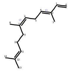 C=C/C(C)=C/C/C=C(/C)CCC=C(C)C